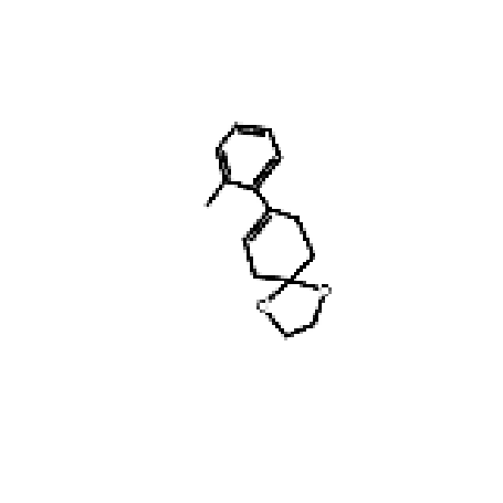 Cc1ccccc1C1=CCC2(CC1)OCCO2